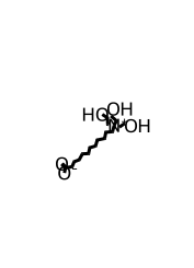 O=C([O-])CCCCCCCCCCC[N+](CCO)(CCO)CCO